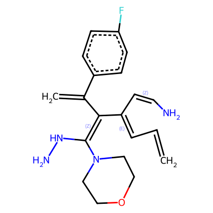 C=C/C=C(\C=C/N)C(/C(=C)c1ccc(F)cc1)=C(/NN)N1CCOCC1